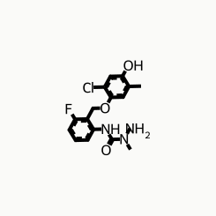 Cc1cc(OCc2c(F)cccc2NC(=O)N(C)N)c(Cl)cc1O